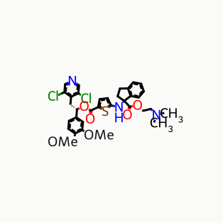 COc1ccc([C@H](Cc2c(Cl)cncc2Cl)OC(=O)c2ccc(NC3(C(=O)OCCN(C)C)CCc4ccccc43)s2)cc1OC